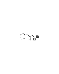 CCC(CC)CNCC1CCCCC1